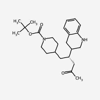 CC(=O)C[C@H](CC1CCN(C(=O)OC(C)(C)C)CC1)C1CNc2ccccc2C1